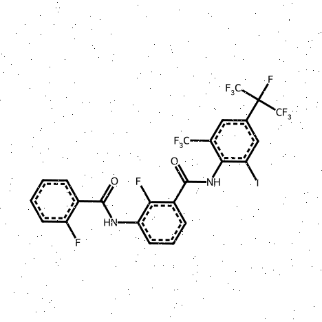 O=C(Nc1cccc(C(=O)Nc2c(I)cc(C(F)(C(F)(F)F)C(F)(F)F)cc2C(F)(F)F)c1F)c1ccccc1F